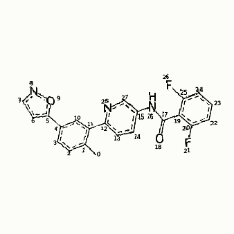 Cc1ccc(-c2ccno2)cc1-c1ccc(NC(=O)c2c(F)cccc2F)cn1